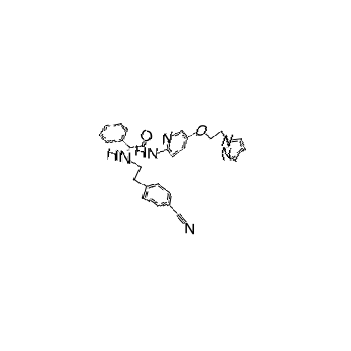 N#Cc1ccc(CCN[C@@H](C(=O)Nc2ccc(OCCn3cccn3)cn2)c2ccccc2)cc1